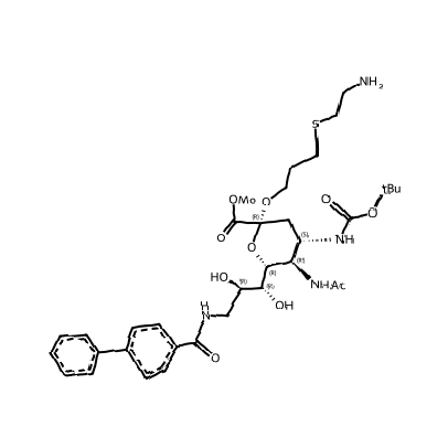 COC(=O)[C@@]1(OCCCSCCN)C[C@H](NC(=O)OC(C)(C)C)[C@@H](NC(C)=O)[C@H]([C@H](O)[C@H](O)CNC(=O)c2ccc(-c3ccccc3)cc2)O1